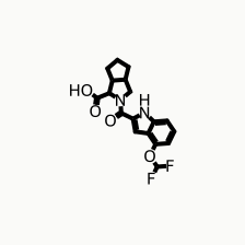 O=C(O)C1C2CCCC2CN1C(=O)c1cc2c(OC(F)F)cccc2[nH]1